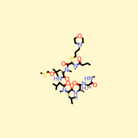 CCCC(=O)N(C)[C@H](SCCCN1CCOCC1)C(=O)N(C)[C@@H](CC(C)(C)OCSC)C(=O)N[C@H](C(=O)N(C)[C@@H](CC(C)C)C(=O)N[C@H](C)C(=O)N[C@@H](C)C(=O)NC)C(C)C